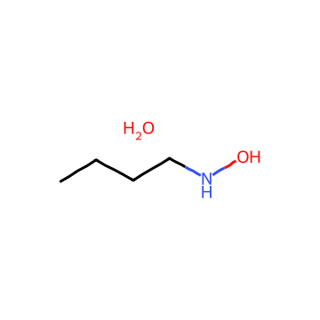 CCCCNO.O